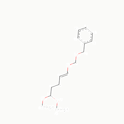 CCCCCCCOC(CCC=COCOCc1ccccc1)OCCCCCCC